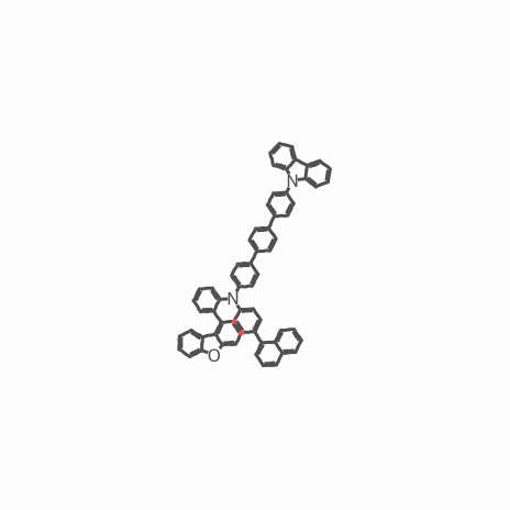 c1ccc(N(c2ccc(-c3ccc(-c4ccc(-n5c6ccccc6c6ccccc65)cc4)cc3)cc2)c2ccc(-c3cccc4ccccc34)cc2)c(-c2cccc3oc4ccccc4c23)c1